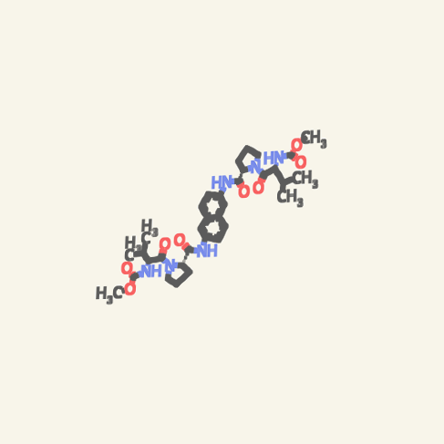 COC(=O)N[C@H](C(=O)N1CCC[C@H]1C(=O)Nc1ccc2cc(NC(=O)[C@@H]3CCCN3C(=O)[C@@H](NC(=O)OC)C(C)C)ccc2c1)C(C)C